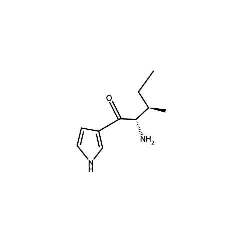 CC[C@@H](C)[C@H](N)C(=O)c1cc[nH]c1